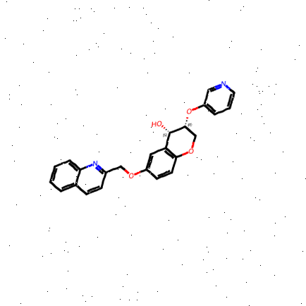 O[C@H]1c2cc(OCc3ccc4ccccc4n3)ccc2OC[C@H]1Oc1cccnc1